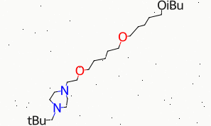 CC(C)COCCCCCOCCCCCOCCN1CCN(CC(C)(C)C)CC1